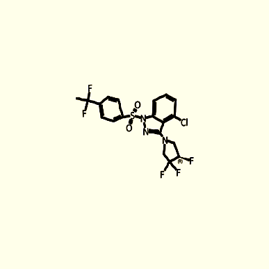 CC(F)(F)c1ccc(S(=O)(=O)n2nc(N3C[C@@H](F)C(F)(F)C3)c3c(Cl)cccc32)cc1